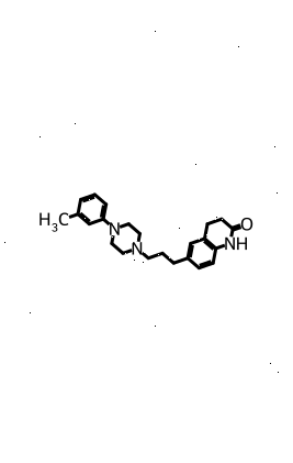 Cc1cccc(N2CCN(CCCc3ccc4c(c3)CCC(=O)N4)CC2)c1